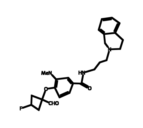 CNc1cc(C(=O)NCCCN2CCc3ccccc3C2)ccc1OC1(C=O)CC(F)C1